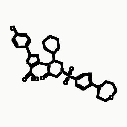 O=C(O)c1sc(-c2ccc(Cl)cc2)cc1N1C(=O)CN(S(=O)(=O)c2ccc(N3CCCOCC3)nc2)CC1C1CCCCC1